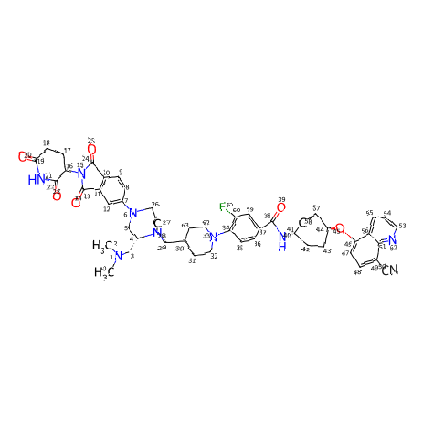 CN(C)C[C@@H]1CN(c2ccc3c(c2)C(=O)N(C2CCC(=O)NC2=O)C3=O)CCN1CC1CCN(c2ccc(C(=O)N[C@H]3CC[C@H](Oc4ccc(C#N)c5ncccc45)CC3)cc2F)CC1